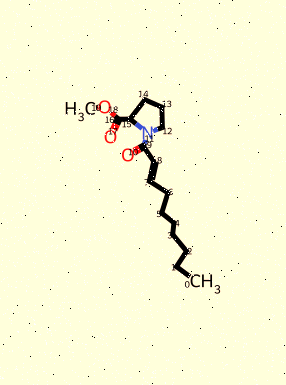 CCCCCCCC=CC(=O)N1CCCC1C(=O)OC